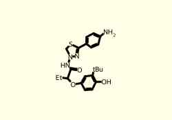 CCC(Oc1ccc(O)c(C(C)(C)C)c1)C(=O)NN1CSC(c2ccc(N)cc2)=N1